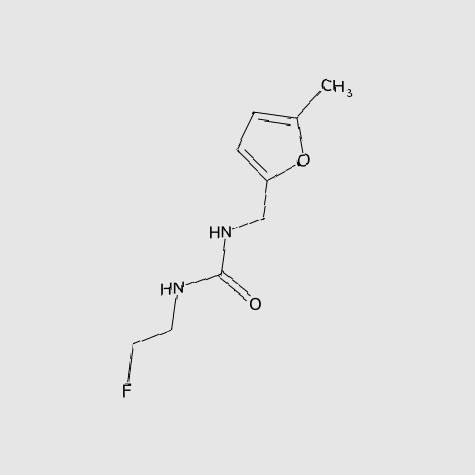 Cc1ccc(CNC(=O)NCCF)o1